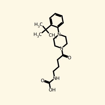 CC(C)(C)c1ccccc1N1CCN(C(=O)CCCNC(=O)O)CC1